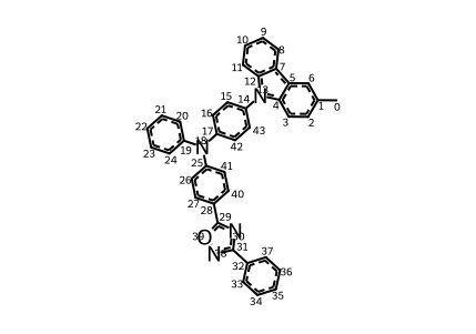 Cc1ccc2c(c1)c1ccccc1n2-c1ccc(N(c2ccccc2)c2ccc(-c3nc(-c4ccccc4)no3)cc2)cc1